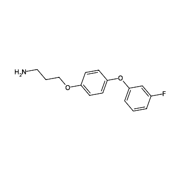 NCCCOc1ccc(Oc2cccc(F)c2)cc1